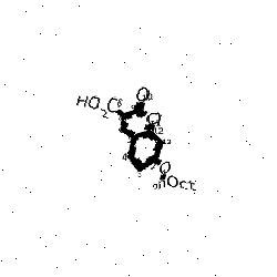 CCCCCCCCOc1ccc2cc(C(=O)O)c(=O)oc2c1